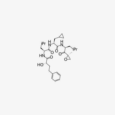 CC(C)C[C@H](NC(=O)[C@@H](O)CCc1ccccc1)C(=O)N[C@@H](CC1CC1)C(=O)N[C@@H](CC(C)C)C(=O)[C@@]1(C)CO1